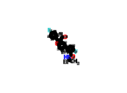 C=C(CC)NC(=O)c1cc(-c2cc3c(C(=O)NC)c(-c4ccc(F)cc4)oc3cc2CCC)ccc1F